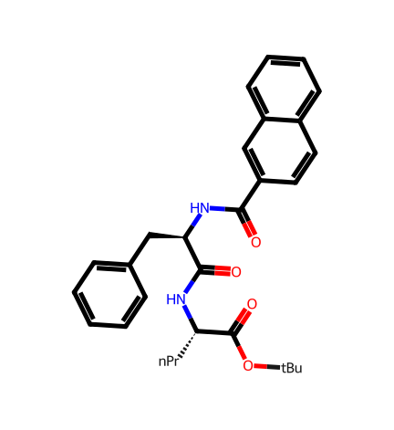 CCC[C@H](NC(=O)[C@@H](Cc1ccccc1)NC(=O)c1ccc2ccccc2c1)C(=O)OC(C)(C)C